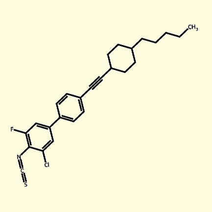 CCCCCC1CCC(C#Cc2ccc(-c3cc(F)c(N=C=S)c(Cl)c3)cc2)CC1